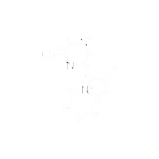 Cc1cc2n(c1-c1cncc(Cl)n1)CCCC2